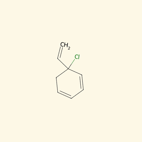 C=CC1(Cl)C=CC=CC1